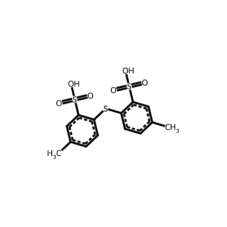 Cc1ccc(Sc2ccc(C)cc2S(=O)(=O)O)c(S(=O)(=O)O)c1